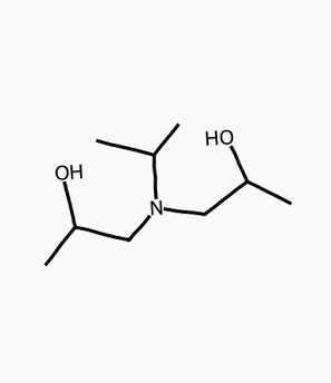 CC(O)CN(CC(C)O)C(C)C